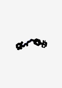 CC1=C(/C=C/C(C)=C/C=C/c2ccc(C3=NCCO3)cc2)C(C)(C)CCC1